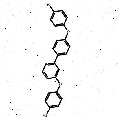 Sc1ccc(Oc2ccc(-c3cccc(Oc4ccc(S)cc4)c3)cc2)cc1